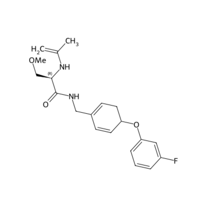 C=C(C)N[C@H](COC)C(=O)NCC1=CCC(Oc2cccc(F)c2)C=C1